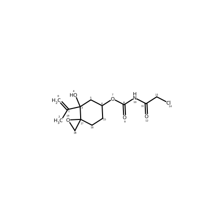 C=C(C)C1(O)CC(OC(=O)NC(=O)CCl)CCC12CO2